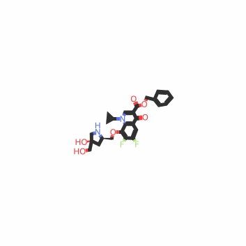 O=C(OCc1ccccc1)c1cn(C2CC2)c2c(OC[C@H]3C[C@](O)(CO)CN3)c(F)c(F)cc2c1=O